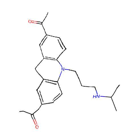 CC(=O)c1ccc2c(c1)Cc1cc(C(C)=O)ccc1N2CCCNC(C)C